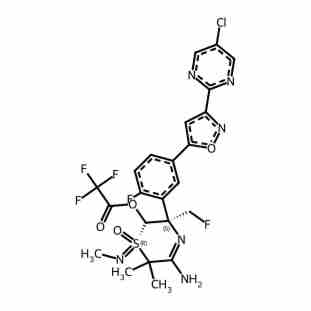 CN=[S@]1(=O)C(OC(=O)C(F)(F)F)[C@@](CF)(c2cc(-c3cc(-c4ncc(Cl)cn4)no3)ccc2F)N=C(N)C1(C)C